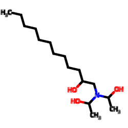 CCCCCCCCCCC(O)CN(C(C)O)C(C)O